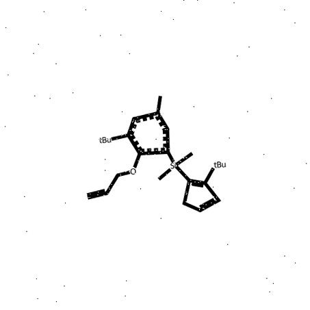 C=CCOc1c(C(C)(C)C)cc(C)cc1[Si](C)(C)C1=C(C(C)(C)C)C=CC1